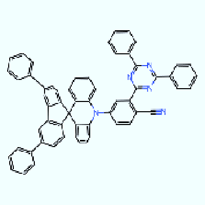 N#Cc1ccc(N2c3ccccc3C3(c4ccc(-c5ccccc5)cc4-c4cc(-c5ccccc5)ccc43)c3ccccc32)cc1-c1nc(-c2ccccc2)nc(-c2ccccc2)n1